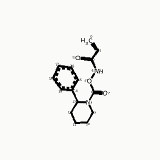 C=CC(=O)NOC(=O)N1CCCCC1c1ccccc1